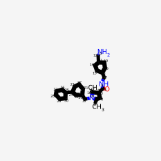 Cc1cc(C(=O)NCc2ccc(CN)cc2)c(C)n1Cc1cccc(-c2ccccc2)c1